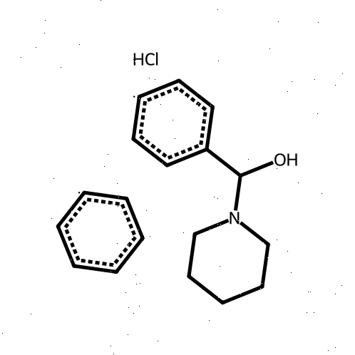 Cl.OC(c1cc[c]cc1)N1CCCCC1.[c]1ccccc1